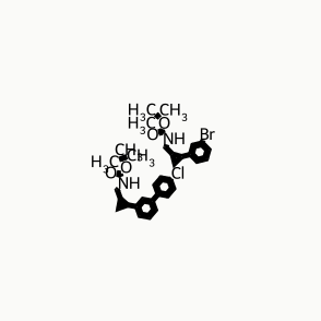 CC(C)(C)OC(=O)NCC1CC1c1cccc(-c2ccc(Cl)cc2)c1.CC(C)(C)OC(=O)NCC1CC1c1cccc(Br)c1